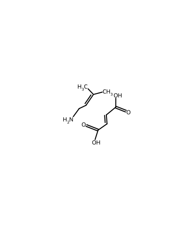 CC(C)=CCN.O=C(O)C=CC(=O)O